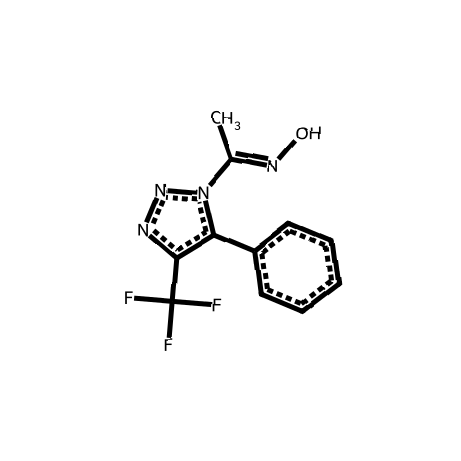 CC(=NO)n1nnc(C(F)(F)F)c1-c1ccccc1